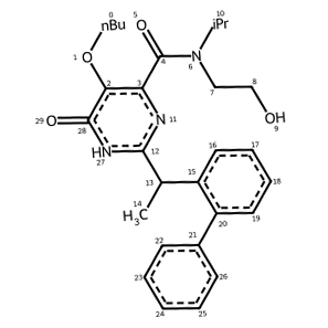 CCCCOc1c(C(=O)N(CCO)C(C)C)nc(C(C)c2ccccc2-c2ccccc2)[nH]c1=O